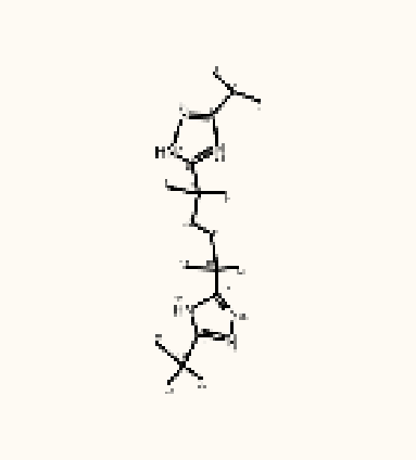 CC(C)c1n[nH]c(C(C)(C)CCC(C)(C)c2nnc(C(C)(C)C)[nH]2)n1